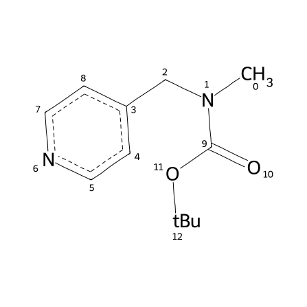 CN(Cc1ccncc1)C(=O)OC(C)(C)C